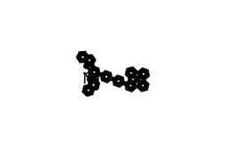 c1ccc(C2(c3ccccc3)c3ccccc3-c3c(-c4ccc(-c5ccc(-c6cc7c8ccc9ccccc9c8sc7c7nc8c9ccccc9ccc8n67)cc5)cc4)cccc32)cc1